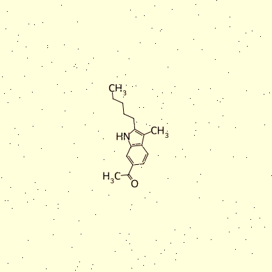 CCCCCc1[nH]c2cc(C(C)=O)ccc2c1C